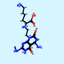 CNc1nc2c(c(N)nc(=O)n2CCNC(CCCCN)C(=O)O)c(=O)[nH]1